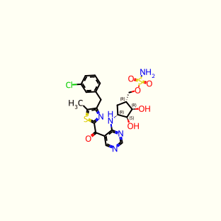 Cc1sc(C(=O)c2cncnc2N[C@@H]2C[C@H](COS(N)(=O)=O)[C@@H](O)[C@H]2O)nc1Cc1cccc(Cl)c1